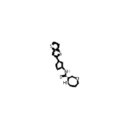 S=C(NC1CCC(c2cc3sccc3s2)C1)[C@@H]1COCCCN1